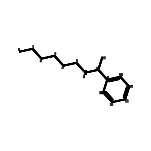 CCCCCCSC(C)c1ccccc1